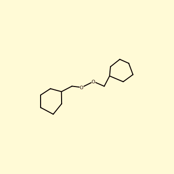 C1CCC(COOCC2CCCCC2)CC1